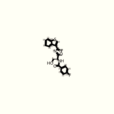 O=C(N[C@@H](CO)c1nc(-c2csc3ccccc23)no1)c1ccc(F)cc1